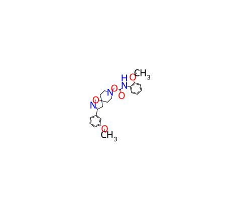 COc1cccc(C2=NOC3(CCN(OC(=O)Nc4ccccc4OC)CC3)C2)c1